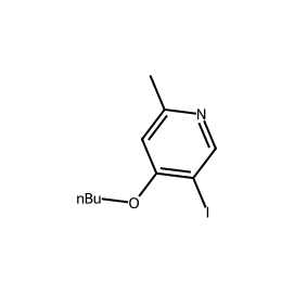 CCCCOc1cc(C)ncc1I